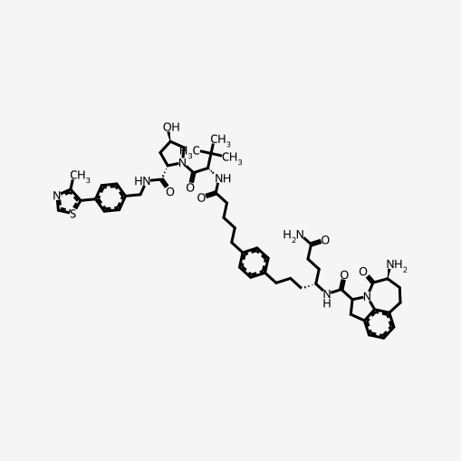 Cc1ncsc1-c1ccc(CNC(=O)[C@@H]2C[C@@H](O)CN2C(=O)[C@@H](NC(=O)CCCCc2ccc(CCC[C@H](CCC(N)=O)NC(=O)C3Cc4cccc5c4N3C(=O)[C@@H](N)CC5)cc2)C(C)(C)C)cc1